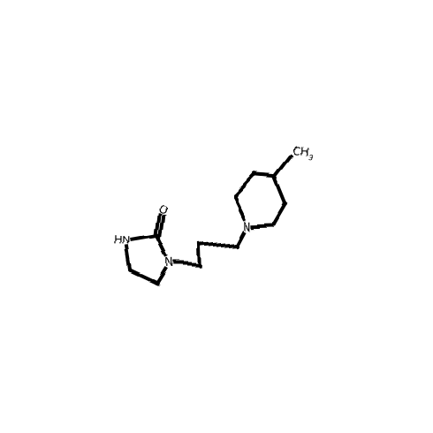 CC1CCN(CCCN2CCNC2=O)CC1